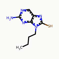 CCCCn1c(S)nc2cnc(N)nc21